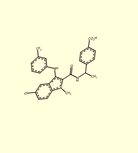 CC(NC(=O)c1c(Nc2cccc(C(F)(F)F)c2)c2cc(Cl)ccc2n1C)c1ccc(C(=O)O)cc1